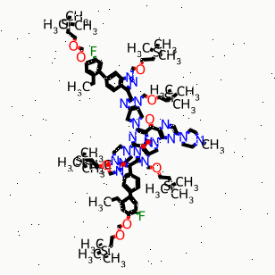 CCc1cc(OCOCC[Si](C)(C)C)c(F)cc1-c1ccc2c(-c3nc4c(n3COCC[Si](C)(C)C)CN(c3nc(N5CCN(C)CC5)cnc3C(=O)c3ncc(N5CCN(C)CC5)nc3N3Cc5nc(-c6nn(COCC[Si](C)(C)C)c7cc(-c8cc(F)c(OCOCC[Si](C)(C)C)cc8CC)ccc67)n(COCC[Si](C)(C)C)c5C3)C4)nn(COCC[Si](C)(C)C)c2c1